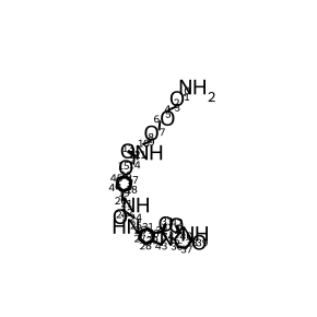 NCOCCOCCOCCNC(=O)COc1ccc(CNC(=O)CNc2ccc3c(c2)C(=O)N([C@@H]2CCC(=O)NC2=O)C3)cc1